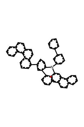 c1ccc(-c2cccc(N(c3ccc4ccc5ccccc5c4c3)c3ccc(-c4cccc5c4ccc4ccc6ccccc6c45)cc3-c3ccccc3)c2)cc1